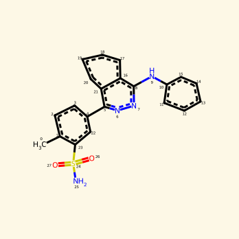 Cc1ccc(-c2nnc(Nc3ccccc3)c3ccccc23)cc1S(N)(=O)=O